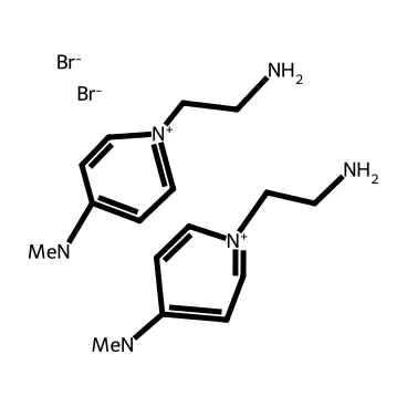 CNc1cc[n+](CCN)cc1.CNc1cc[n+](CCN)cc1.[Br-].[Br-]